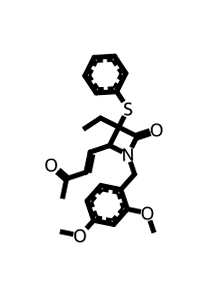 CCC1(Sc2ccccc2)C(=O)N(Cc2ccc(OC)cc2OC)C1/C=C/C(C)=O